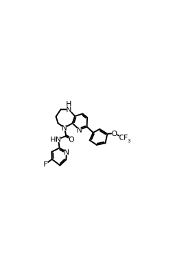 O=C(Nc1cc(F)ccn1)N1CCCNc2ccc(-c3cccc(OC(F)(F)F)c3)nc21